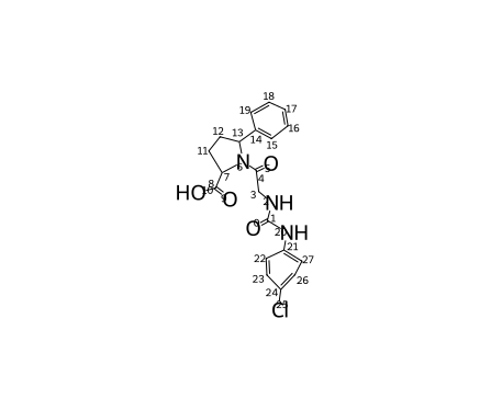 O=C(NCC(=O)N1C(C(=O)O)CCC1c1ccccc1)Nc1ccc(Cl)cc1